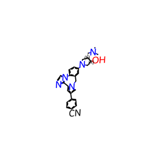 CN(C)C[C@H]1CN(c2ccc3c(c2)Cn2cc(-c4ccc(C#N)cc4)cc2-c2nccn2-3)C[C@@H]1O